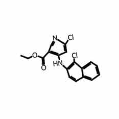 CCOC(=O)c1cnc(Cl)cc1Nc1ccc2ccccc2c1Cl